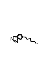 [CH2]CCCCCc1ccc2cncnc2c1